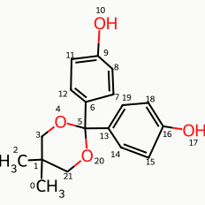 CC1(C)COC(c2ccc(O)cc2)(c2ccc(O)cc2)OC1